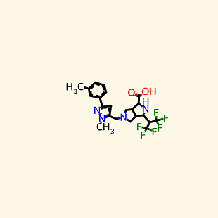 Cc1cccc(-c2cc(CN3CC4C(C(=O)O)NC(C(C(F)(F)F)C(F)(F)F)C4C3)n(C)n2)c1